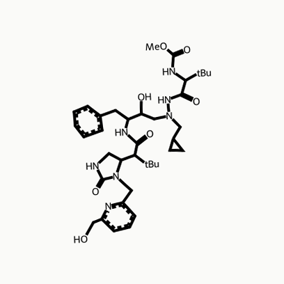 COC(=O)NC(C(=O)NN(CC1CC1)CC(O)C(Cc1ccccc1)NC(=O)C(C1CNC(=O)N1Cc1cccc(CO)n1)C(C)(C)C)C(C)(C)C